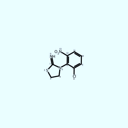 N=C1SCCN1c1c(Cl)cccc1[N+](=O)[O-]